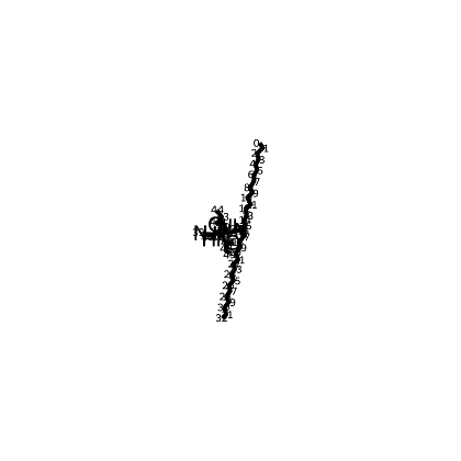 CCCCCCCCCCCCCCCCN(CCCCCCCCCCCCCCCC)CC[PH](CCC#N)(NC(=O)CC)NC(=O)CC